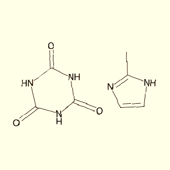 Cc1ncc[nH]1.O=c1[nH]c(=O)[nH]c(=O)[nH]1